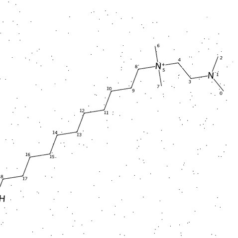 CN(C)CC[N+](C)(C)CCCCCCCCCCCO